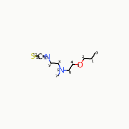 CCCOCCN(C)CCN=C=S